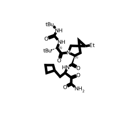 CCC1CC12C[C@@H](C(=O)NC(CC1CCC1)C(=O)C(N)=O)N(C(=O)[C@@H](NC(=O)NC(C)(C)C)C(C)(C)C)C2